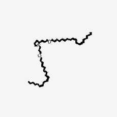 CCCCC/C=C\C/C=C\CCCCCCCCOCCCC1CCCN1CCCOCCCCCCCC/C=C\C/C=C\CCCCC